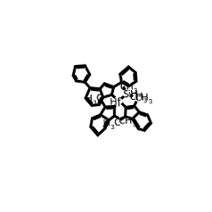 CC1=[C]([Hf]([C]2=C(C)c3ccccc3C2C)([CH]2C(c3ccccc3)=Cc3c(-c4ccccc4)cccc32)[SiH](C)C)C(C)c2ccccc21